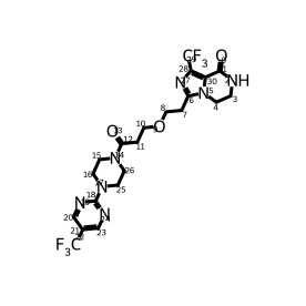 O=C1NCCn2c(CCOCCC(=O)N3CCN(c4ncc(C(F)(F)F)cn4)CC3)nc(C(F)(F)F)c21